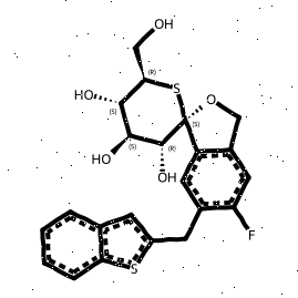 OC[C@H]1S[C@]2(OCc3cc(F)c(Cc4cc5ccccc5s4)cc32)[C@H](O)[C@@H](O)[C@@H]1O